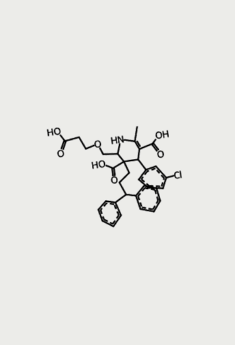 CC1=C(C(=O)O)C(c2cccc(Cl)c2)C(CCC(c2ccccc2)c2ccccc2)(C(=O)O)C(COCCC(=O)O)N1